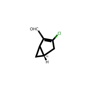 O=CC1=C(Cl)C[C@@H]2CC12